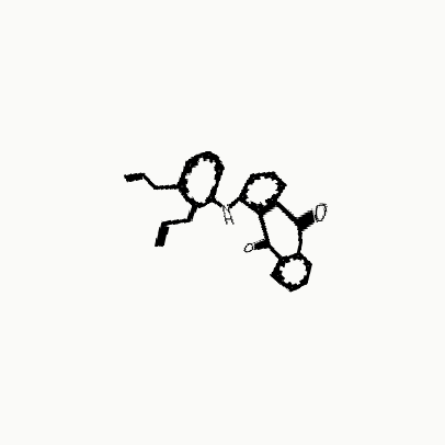 C=CCc1cccc(Nc2cccc3c2C(=O)c2ccccc2C3=O)c1CC=C